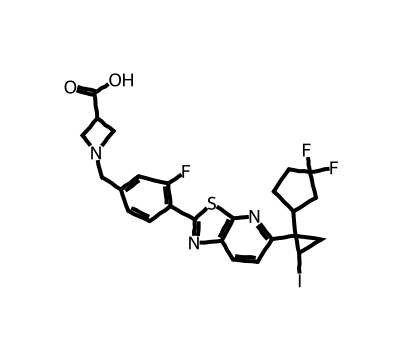 O=C(O)C1CN(Cc2ccc(-c3nc4ccc(C5(C6CCC(F)(F)C6)CC5I)nc4s3)c(F)c2)C1